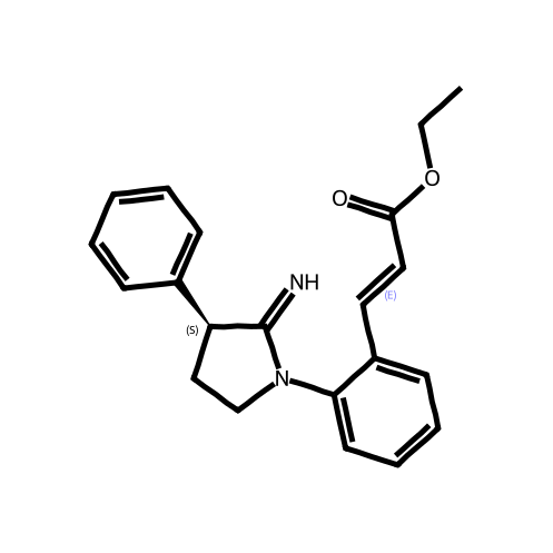 CCOC(=O)/C=C/c1ccccc1N1CC[C@@H](c2ccccc2)C1=N